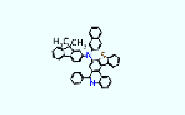 CC1(C)c2ccccc2-c2ccc(N(c3ccc4ccccc4c3)c3cc4c(-c5ccccc5)nc5ccccc5c4c4c3sc3ccccc34)cc21